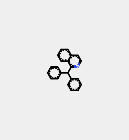 c1ccc(C(c2ccccc2)c2nccc3ccccc23)cc1